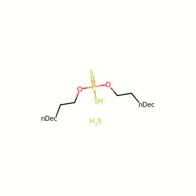 CCCCCCCCCCCCOP(=S)(S)OCCCCCCCCCCCC.S